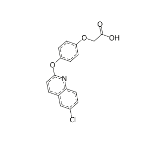 O=C(O)COc1ccc(Oc2ccc3cc(Cl)ccc3n2)cc1